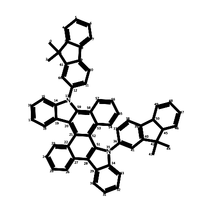 CC1(C)c2ccccc2-c2ccc(-n3c4ccccc4c4c5c6ccccc6c6c7ccccc7n(-c7ccc8c(c7)C(C)(C)C7C=CC=CC87)c6c5c5ccccc5c43)cc21